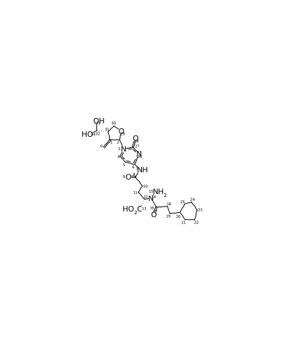 C=C1C(n2ccc(NC(=O)CC[C@@H](C(=O)O)N(N)C(=O)CCC3CCCCC3)nc2=O)OC[C@H]1C(O)O